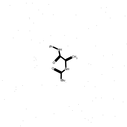 C=C(NC(=O)C(C)(C)C)C(=O)NC(C)C